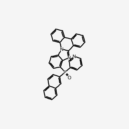 O=P(c1cccnc1)(c1ccc2ccccc2c1)c1cccc2c1nc1c3ccccc3c3ccccc3n21